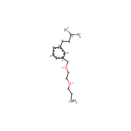 [SiH3]CCOCCOCc1cccc(CCC(Br)Br)c1